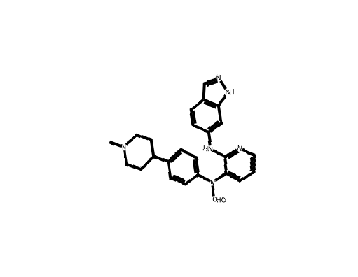 CN1CCC(c2ccc(N(C=O)c3cccnc3Nc3ccc4cn[nH]c4c3)cc2)CC1